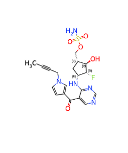 CC#CCn1ccc(C(=O)c2cncnc2N[C@@H]2C[C@H](COS(N)(=O)=O)[C@@H](O)[C@@H]2F)c1